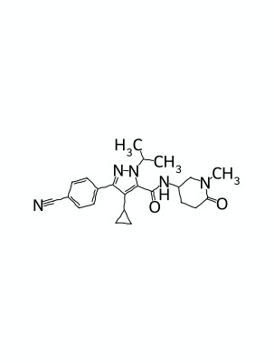 CC(C)n1nc(-c2ccc(C#N)cc2)c(C2CC2)c1C(=O)NC1CCC(=O)N(C)C1